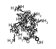 CC[C@H](C)[C@H](NC(=O)[C@H](CCCNC(=N)N)NC(=O)[C@H](CO)NC(=O)[C@H](CC(N)=O)NC(=O)[C@H](CC(N)=O)NC(=O)[C@H](CCCCN)NC(=O)[C@H](CCC(=O)O)NC(=O)[C@@H](NC(=O)[C@H](CC(=O)O)NC(=O)[C@H](Cc1ccc(O)cc1)NC(=O)CNC(=O)[C@H](C)N)C(C)C)C(=O)N[C@@H](CCCCN)C(=O)N[C@@H](CC(C)C)C(=O)NCC(=O)N[C@@H](CC(C)C)C(=O)N[C@@H](CCCCN)C(=O)O